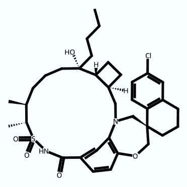 CCCC[C@]1(O)CCC[C@H](C)[C@@H](C)S(=O)(=O)NC(=O)c2ccc3c(c2)N(C[C@@H]2CC[C@H]21)C[C@@]1(CCCc2cc(Cl)ccc21)CO3